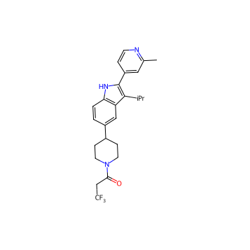 Cc1cc(-c2[nH]c3ccc(C4CCN(C(=O)CC(F)(F)F)CC4)cc3c2C(C)C)ccn1